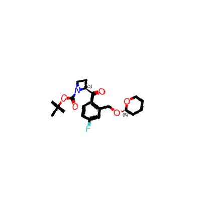 CC(C)(C)OC(=O)N1CC[C@H]1C(=O)c1ccc(F)cc1CO[C@H]1CCCCO1